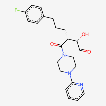 O=C[C@@H](O)[C@@H](CCCc1ccc(F)cc1)C(=O)N1CCN(c2ccccn2)CC1